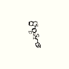 COc1cc(C2=NCCc3ccccc32)ccc1NC(=O)C=Cc1cccnc1